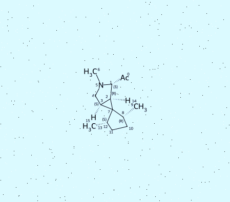 CC(=O)[C@@H]1[C@@H]2[C@H](CN1C)C21[C@H](C)CC[C@@H]1C